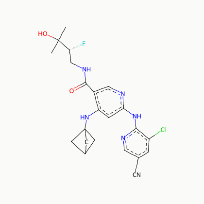 CC(C)(O)[C@H](F)CNC(=O)c1cnc(Nc2ncc(C#N)cc2Cl)cc1NC12CC(C1)C2